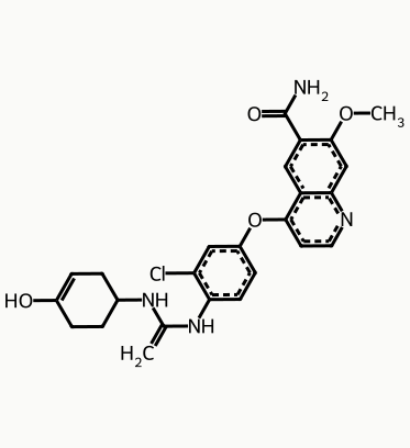 C=C(Nc1ccc(Oc2ccnc3cc(OC)c(C(N)=O)cc23)cc1Cl)NC1CC=C(O)CC1